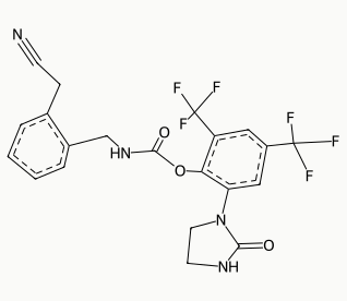 N#CCc1ccccc1CNC(=O)Oc1c(N2CCNC2=O)cc(C(F)(F)F)cc1C(F)(F)F